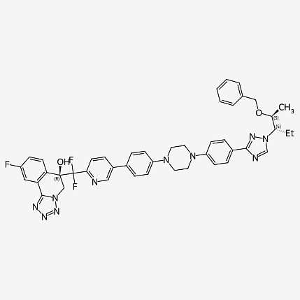 CC[C@@H]([C@H](C)OCc1ccccc1)n1cnc(-c2ccc(N3CCN(c4ccc(-c5ccc(C(F)(F)[C@]6(O)Cn7nnnc7-c7cc(F)ccc76)nc5)cc4)CC3)cc2)n1